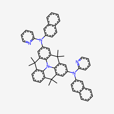 CC1(C)c2cccc3c2N2c4c1cc(N(c1ccc5ccccc5c1)c1ccccn1)cc4C(C)(C)c1cc(N(c4ccc5ccccc5c4)c4ccccn4)cc(c12)C3(C)C